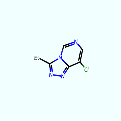 CCc1nnc2c(Cl)cncn12